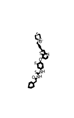 O=C(Cc1ccccc1)NC(=S)Nc1ccc(Oc2ccnc3cc(C#CC[N+]4([O-])CCSCC4)sc23)c(F)c1